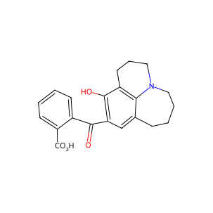 O=C(O)c1ccccc1C(=O)c1cc2c3c(c1O)CCCN3CCCC2